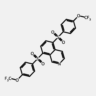 O=S(=O)(c1ccc(OC(F)(F)F)cc1)c1ccc(S(=O)(=O)c2ccc(OC(F)(F)F)cc2)c2cnccc12